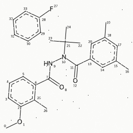 COc1cccc(C(=O)NN(C(=O)c2cc(C)cc(C)c2)C(C)(C)C)c1C.Fc1ccccc1